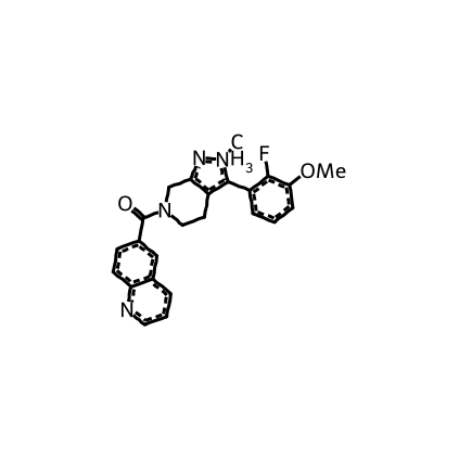 COc1cccc(-c2c3c(nn2C)CN(C(=O)c2ccc4ncccc4c2)CC3)c1F